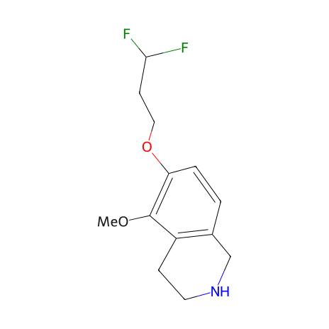 COc1c(OCCC(F)F)ccc2c1CCNC2